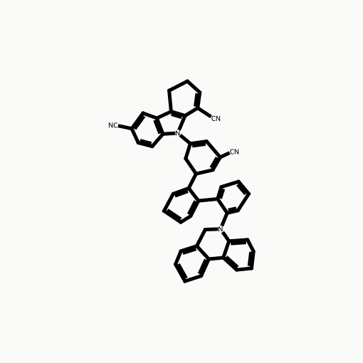 N#CC1=CC(c2ccccc2-c2ccccc2N2Cc3ccccc3-c3ccccc32)CC(n2c3c(c4cc(C#N)ccc42)CCC=C3C#N)=C1